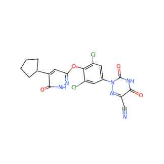 N#Cc1nn(-c2cc(Cl)c(Oc3cc(C4CCCC4)c(=O)[nH]n3)c(Cl)c2)c(=O)[nH]c1=O